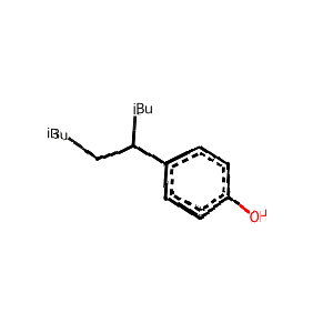 CCC(C)CC(c1ccc(O)cc1)C(C)CC